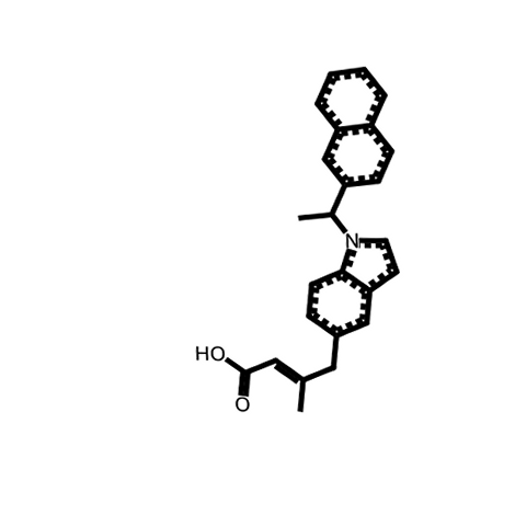 CC(=CC(=O)O)Cc1ccc2c(ccn2C(C)c2ccc3ccccc3c2)c1